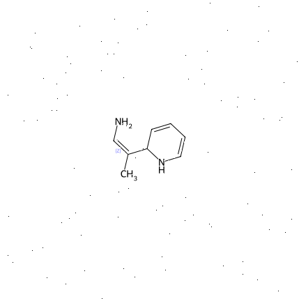 C/C(=C/N)C1C=CC=CN1